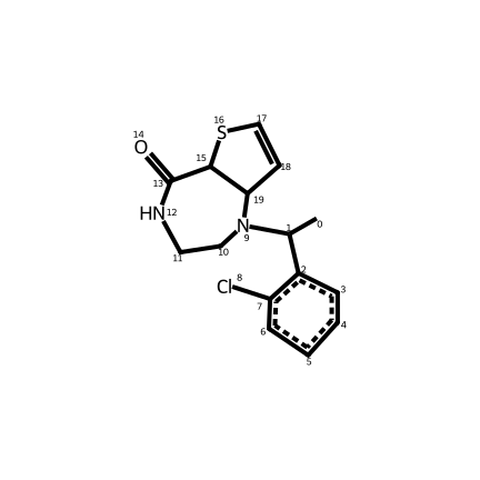 CC(c1ccccc1Cl)N1CCNC(=O)C2SC=CC21